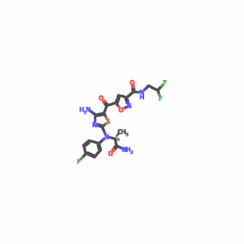 C[C@H](C(N)=O)N(c1ccc(F)cc1)c1nc(N)c(C(=O)c2cc(C(=O)NCC(F)F)no2)s1